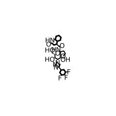 O=C(N[C@@H]1CCO[C@]12O[C@H](CO)[C@H](O)[C@H](n1cc(-c3cc(F)c(F)c(F)c3)nn1)[C@H]2O)c1cc(=O)[nH]c2ccccc12